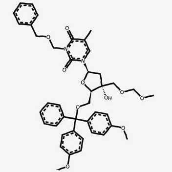 COCOC[C@]1(O)C[C@H](n2cc(C)c(=O)n(COCc3ccccc3)c2=O)O[C@@H]1COC(c1ccccc1)(c1ccc(OC)cc1)c1ccc(OC)cc1